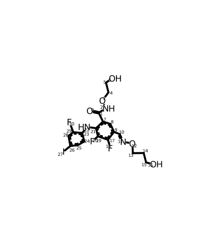 O=C(NOCCO)c1cc(C=NOCCCO)c(F)c(F)c1Nc1ccc(I)cc1F